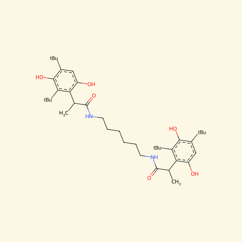 CC(C(=O)NCCCCCCNC(=O)C(C)c1c(O)cc(C(C)(C)C)c(O)c1C(C)(C)C)c1c(O)cc(C(C)(C)C)c(O)c1C(C)(C)C